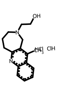 Cc1c2c(nc3ccccc13)CCCN(CCO)C2.Cl.Cl